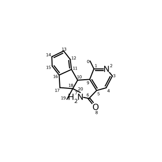 Cc1nccc(C(N)=O)c1C1c2ccccc2CC1(C)C